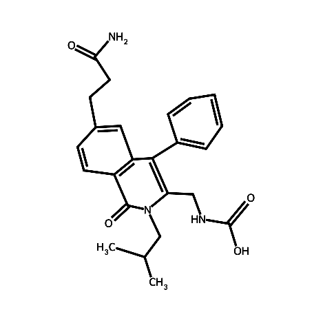 CC(C)Cn1c(CNC(=O)O)c(-c2ccccc2)c2cc(CCC(N)=O)ccc2c1=O